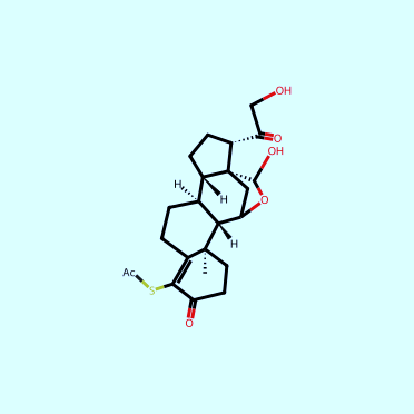 CC(=O)SC1=C2CC[C@H]3[C@@H]4CC[C@H](C(=O)CO)[C@@]45CC(OC5O)[C@@H]3[C@@]2(C)CCC1=O